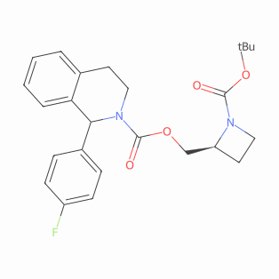 CC(C)(C)OC(=O)N1CC[C@H]1COC(=O)N1CCc2ccccc2C1c1ccc(F)cc1